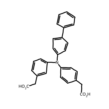 O=C(O)Cc1ccc(N(c2ccc(-c3ccccc3)cc2)c2cccc(CC(=O)O)c2)cc1